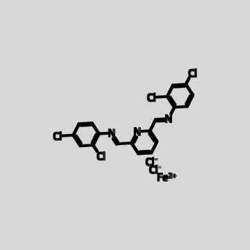 Clc1ccc(/N=C/c2cccc(/C=N/c3ccc(Cl)cc3Cl)n2)c(Cl)c1.[Cl-].[Cl-].[Fe+2]